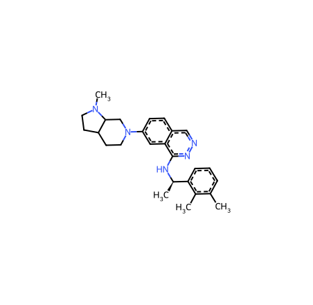 Cc1cccc([C@@H](C)Nc2nncc3ccc(N4CCC5CCN(C)C5C4)cc23)c1C